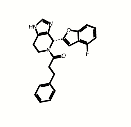 O=C(CCc1ccccc1)N1CCc2[nH]cnc2[C@@H]1c1cc2c(F)cccc2o1